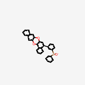 [O-][S+](c1ccccc1)c1cccc(-c2cc3c(c4ccccc24)Oc2cc4ccccc4cc2O3)c1